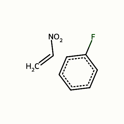 C=C[N+](=O)[O-].Fc1ccccc1